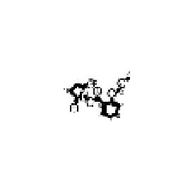 COCOC1=CCCC=C1C(=O)ON1C(=O)CCC1=O